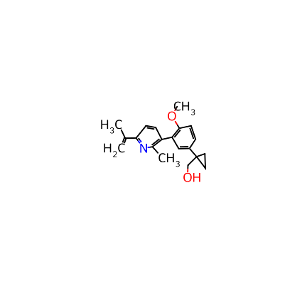 C=C(C)c1ccc(-c2cc(C3(CO)CC3)ccc2OC)c(C)n1